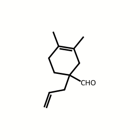 C=CCC1(C=O)CCC(C)=C(C)C1